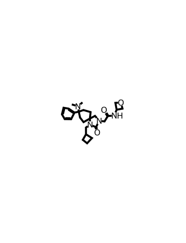 CN(C)C1(c2ccccc2)CCC2(CC1)CN(CC(=O)NC1COC1)C(=O)N2CC1CCC1